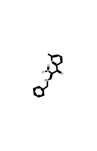 CC1=CC=CC(C(=O)/C(=C/NCc2ccccc2)[N+](=O)[O-])=I1